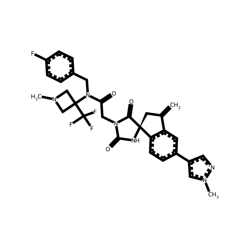 C=C1C[C@]2(NC(=O)N(CC(=O)N(Cc3ccc(F)cc3)C3(C(F)(F)F)CN(C)C3)C2=O)c2ccc(-c3cnn(C)c3)cc21